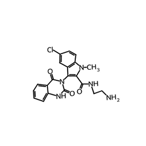 Cn1c(C(=O)NCCN)c(-n2c(=O)[nH]c3ccccc3c2=O)c2cc(Cl)ccc21